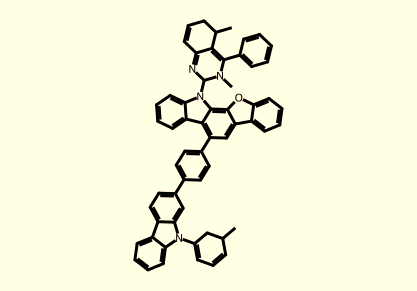 CC1C=CC=C(n2c3ccccc3c3ccc(-c4ccc(-c5cc6c7ccccc7oc6c6c5c5ccccc5n6C5N=C6C=CCC(C)C6=C(c6ccccc6)N5C)cc4)cc32)C1